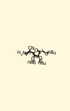 CCCCOC[C@H]1OC(/C(C#N)=C/N)[C@H](OCCCC)[C@@H]1OCCCC